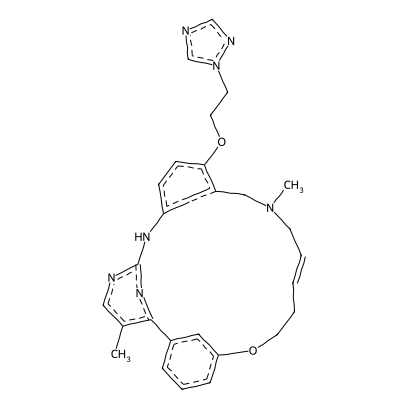 Cc1cnc2nc1-c1cccc(c1)OCC/C=C/CN(C)Cc1cc(ccc1OCCn1cncn1)N2